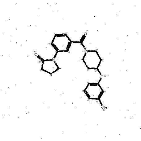 O=C(c1cccc(N2CCCC2=O)c1)N1CCC(Oc2cccc(O)c2)CC1